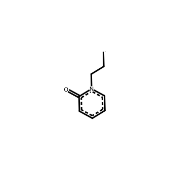 [CH2]CCn1ccccc1=O